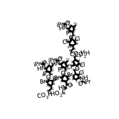 CC(C)C(=O)Nc1cccc(COc2c(Cl)cc(CC(=O)O)cc2Cl)c1Cl.Cc1cc(COc2c(Br)cc(C(=O)NCC(=O)O)cc2Br)c(F)c(NC(=O)C(C)C)c1.Cc1cc(COc2c(Br)cc(CCC(=O)O)cc2Br)c(F)c(NC(=O)C(C)C)c1.Cc1cc(COc2c(Cl)cc(CCC(=O)O)cc2Cl)c(F)c(NC(=O)C(C)C)c1